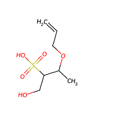 C=CCOC(C)C(CO)S(=O)(=O)O